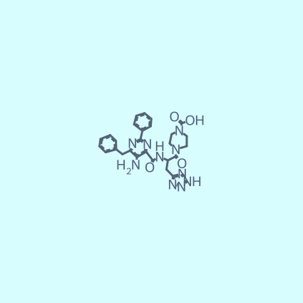 Nc1c(Cc2ccccc2)nc(-c2ccccc2)nc1C(=O)NC(Cc1nn[nH]n1)C(=O)N1CCN(C(=O)O)CC1